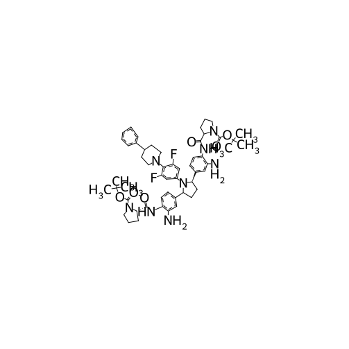 CC(C)(C)OC(=O)N1CCCC1C(=O)Nc1ccc([C@H]2CCC(c3ccc(NC(=O)[C@@H]4CCCN4C(=O)OC(C)(C)C)c(N)c3)N2c2cc(F)c(N3CCC(c4ccccc4)CC3)c(F)c2)cc1N